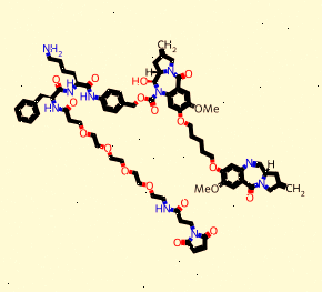 C=C1C[C@H]2C=Nc3cc(OCCCCCOc4cc5c(cc4OC)C(=O)N4CC(=C)C[C@H]4[C@H](O)N5C(=O)OCc4ccc(NC(=O)[C@H](CCCCN)NC(=O)[C@H](Cc5ccccc5)NC(=O)CCOCCOCCOCCOCCNC(=O)CCN5C(=O)C=CC5=O)cc4)c(OC)cc3C(=O)N2C1